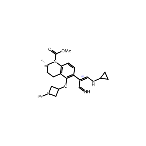 COC(=O)N1c2ccc(/C(C=N)=C/NC3CC3)c(OC3CN(C(C)C)C3)c2CC[C@@H]1C